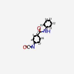 O=C=Nc1ccc(C(=O)Nc2ccccc2)cc1